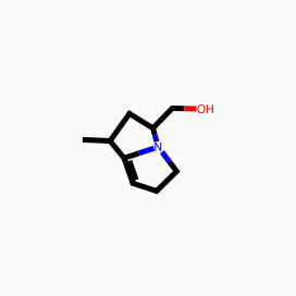 CC1CC(CO)N2CCC=C12